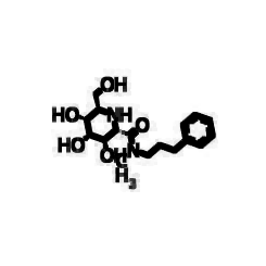 CN(CCCc1ccccc1)C(=O)[C@H]1N[C@H](CO)[C@@H](O)[C@H](O)[C@@H]1O